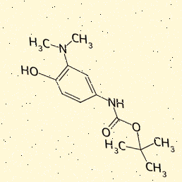 CN(C)c1cc(NC(=O)OC(C)(C)C)ccc1O